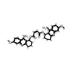 COc1ccc2c(N)c3c(nc2c1)CCCC3OC(=O)/C=C\C(=O)OC1CCCc2nc3cc(OC)ccc3c(N)c21